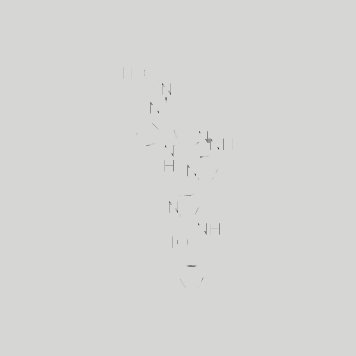 Cc1cn(-c2cccc3[nH]c(-c4n[nH]c5ccc(-c6cncc(NC(O)Cc7ccccc7)c6)nc45)cc23)cn1